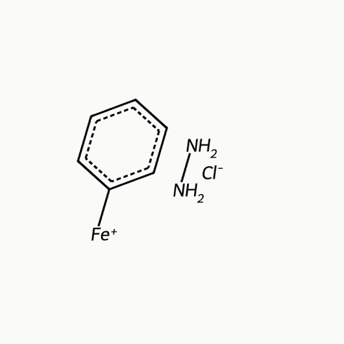 NN.[Cl-].[Fe+][c]1ccccc1